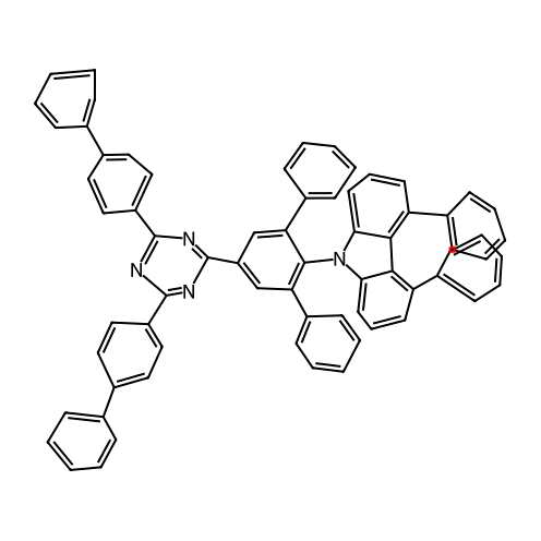 c1ccc(-c2ccc(-c3nc(-c4ccc(-c5ccccc5)cc4)nc(-c4cc(-c5ccccc5)c(-n5c6cccc(-c7ccccc7)c6c6c(-c7ccccc7)cccc65)c(-c5ccccc5)c4)n3)cc2)cc1